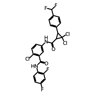 O=C(Nc1ccc(F)cc1F)c1cc(NC(=O)C2C(c3ccc(C(F)F)cc3)C2(Cl)Cl)ccc1Cl